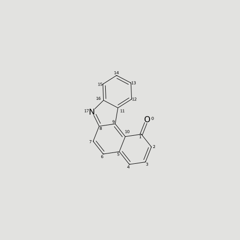 O=C1C=CC=c2ccc3c(c21)-c1ccccc1N=3